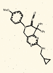 CCCC1(CCC)C(=C=O)N(c2ccc(OC)cc2)Cc2cnc(NCC3CC3)nc21